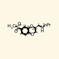 CCCNC[C@H]1COc2ccc(S(C)(=O)=O)cc2O1